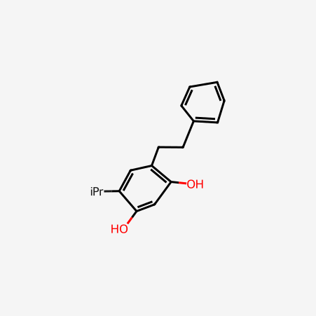 CC(C)c1cc(CCc2ccccc2)c(O)cc1O